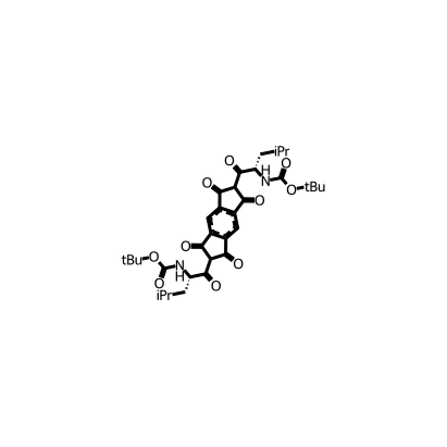 CC(C)C[C@H](NC(=O)OC(C)(C)C)C(=O)C1C(=O)c2cc3c(cc2C1=O)C(=O)C(C(=O)[C@H](CC(C)C)NC(=O)OC(C)(C)C)C3=O